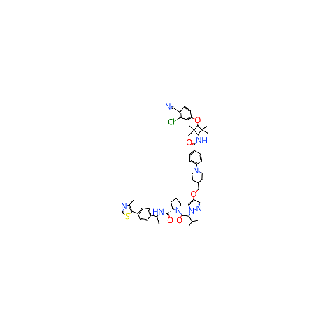 Cc1ncsc1-c1ccc([C@H](C)NC(=O)[C@@H]2CCCN2C(=O)C(C(C)C)n2cc(OCC3CCN(c4ccc(C(=O)N[C@H]5C(C)(C)[C@H](Oc6ccc(C#N)c(Cl)c6)C5(C)C)cc4)CC3)cn2)cc1